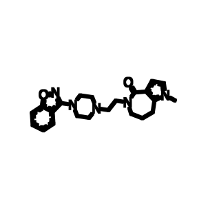 Cn1ccc2c1CCCN(CCN1CCN(c3noc4ccccc34)CC1)C2=O